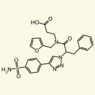 NS(=O)(=O)c1ccc(-c2cn(C(Cc3ccccc3)C(=O)N(CCC(=O)O)Cc3ccco3)nn2)cc1